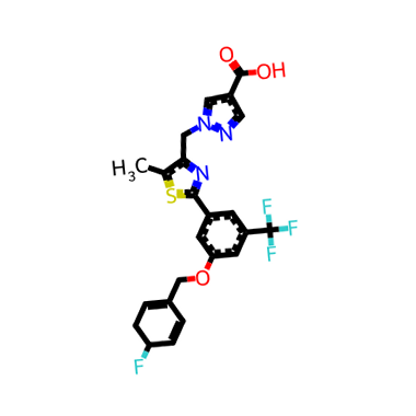 Cc1sc(-c2cc(OCC3=CCC(F)C=C3)cc(C(F)(F)F)c2)nc1Cn1cc(C(=O)O)cn1